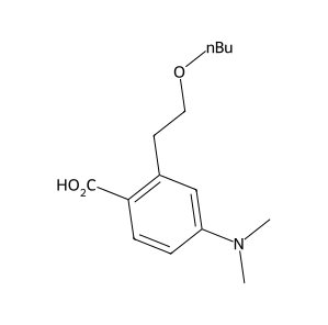 CCCCOCCc1cc(N(C)C)ccc1C(=O)O